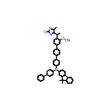 CC1=NC(=O)N=C1C(C)c1ccc(-c2ccc(-c3ccc(N(C4=CCC(c5ccccc5)C=C4)c4ccc5c(c4)C(C)(C)c4ccccc4-5)cc3)cc2)cc1OC#N